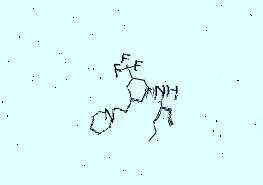 C=CC(=CCC)N[C@@H]1CC(CCN2CCCCC2)CC(C(F)(F)F)C1